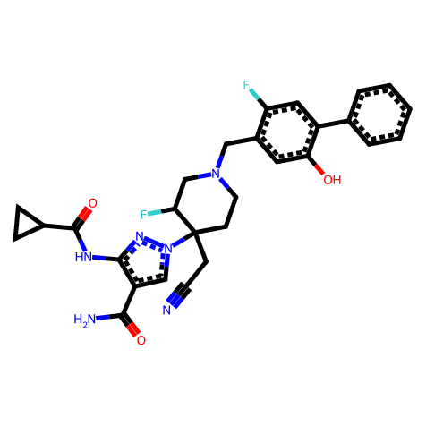 N#CCC1(n2cc(C(N)=O)c(NC(=O)C3CC3)n2)CCN(Cc2cc(O)c(-c3ccccc3)cc2F)CC1F